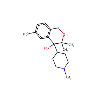 Cc1ccc2c(c1)C(O)(C1CCN(C)CC1)C(C)(C)OC2